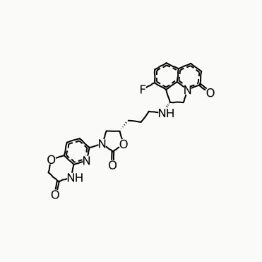 O=C1COc2ccc(N3C[C@H](CCCN[C@H]4Cn5c(=O)ccc6ccc(F)c4c65)OC3=O)nc2N1